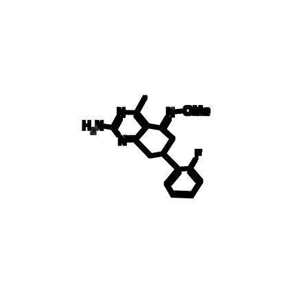 CO/N=C1\CC(c2ccccc2F)Cc2nc(N)nc(C)c21